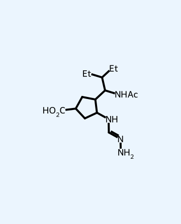 CCC(CC)C(NC(C)=O)C1CC(C(=O)O)CC1NC=NN